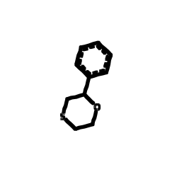 c1ccc(C2CSCCO2)cc1